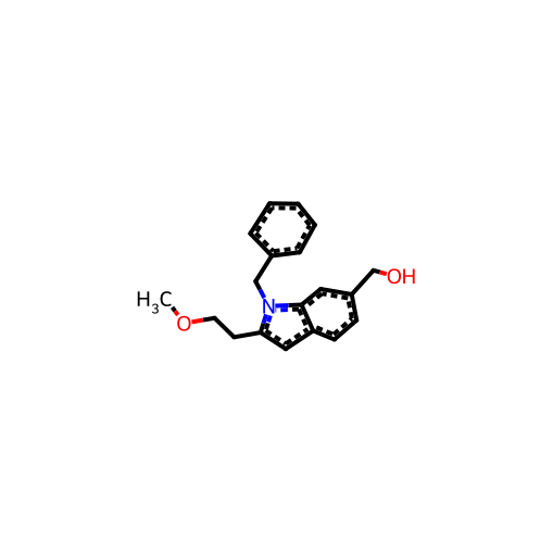 COCCc1cc2ccc(CO)cc2n1Cc1ccccc1